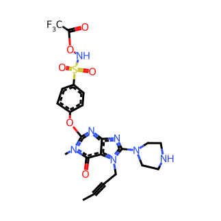 CC#CCn1c(N2CCNCC2)nc2nc(Oc3ccc(S(=O)(=O)NOC(=O)C(F)(F)F)cc3)n(C)c(=O)c21